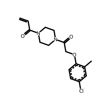 C=CC(=O)N1CCN(C(=O)COc2ccc(Cl)cc2C)CC1